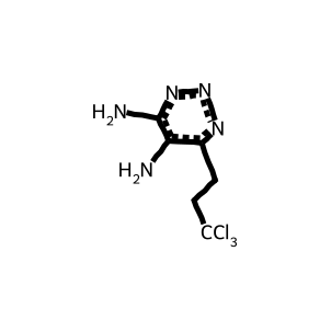 Nc1nnnc(CCC(Cl)(Cl)Cl)c1N